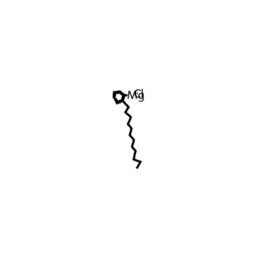 CCCCCCCCCCCCc1cccc[c]1[Mg][Cl]